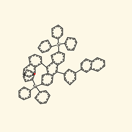 c1ccc([Si](c2ccccc2)(c2ccccc2)c2ccc3c(-c4cccc(-c5ccc6ccccc6c5)c4)c4ccc([Si](c5ccccc5)(c5ccccc5)c5ccccc5)cc4c(-c4cccc5ccccc45)c3c2)cc1